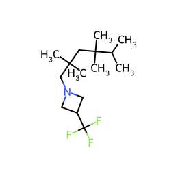 CC(C)C(C)(C)CC(C)(C)CN1CC(C(F)(F)F)C1